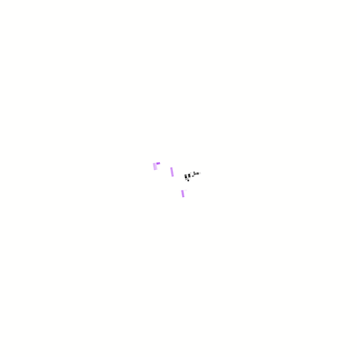 [I-].[I-].[I-].[V+3]